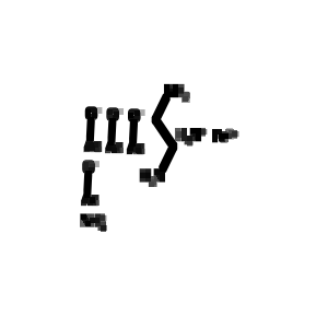 CC(=O)[O-].CC(=O)[O-].CC(=O)[O-].CC(=O)[O-].NCCN.[Fe+2].[NH4+].[NH4+]